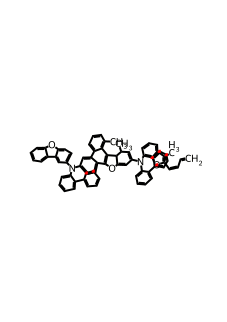 C=C/C=C\c1oc2c(N(C3=CC(C)C4C(=C3)Oc3c4c4c(C)cccc4c4cc(N(c5ccc6oc7ccccc7c6c5)c5ccccc5-c5ccccc5)ccc34)c3ccccc3-c3ccccc3)cccc2c1C